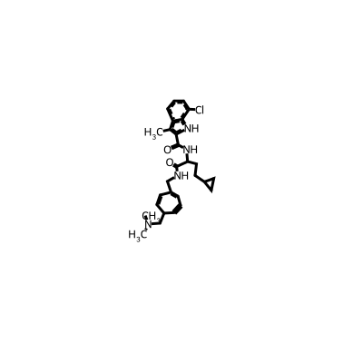 Cc1c(C(=O)NC(CCC2CC2)C(=O)NCC2=CC#CC(CN(C)C)C=C2)[nH]c2c(Cl)cccc12